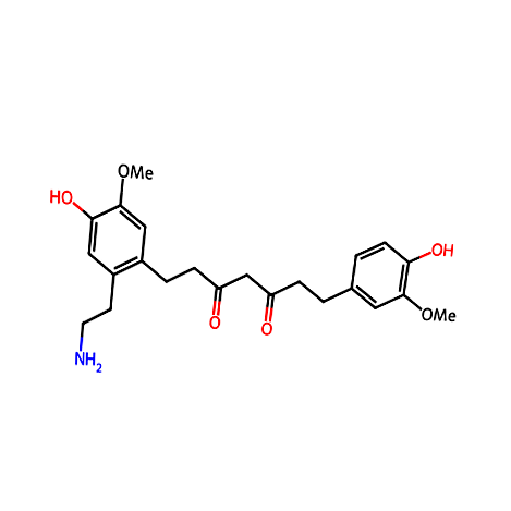 COc1cc(CCC(=O)CC(=O)CCc2cc(OC)c(O)cc2CCN)ccc1O